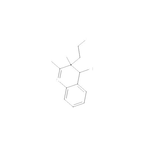 CC1=Nc2ccccc2C(Cl)C1(F)CCCl